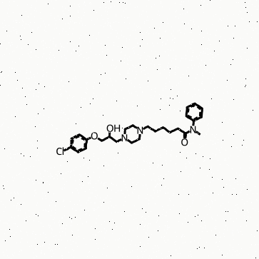 CN(C(=O)CCCCCN1CCN(CC(O)COc2ccc(Cl)cc2)CC1)c1ccccc1